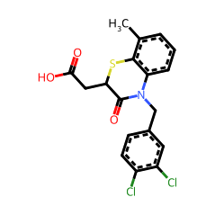 Cc1cccc2c1SC(CC(=O)O)C(=O)N2Cc1ccc(Cl)c(Cl)c1